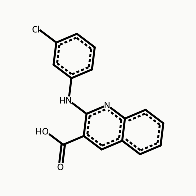 O=C(O)c1cc2ccccc2nc1Nc1cccc(Cl)c1